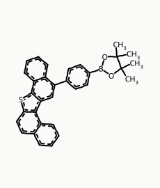 CC1(C)OB(c2ccc(-c3cc4c(sc5ccc6ccccc6c54)c4ccccc34)cc2)OC1(C)C